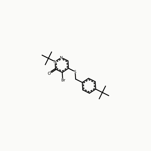 CC(C)(C)c1ccc(CSc2cnn(C(C)(C)C)c(=O)c2Br)cc1